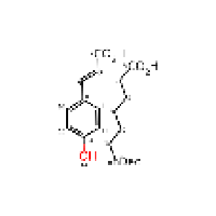 CCCCCCCCCCCCCCCC(=O)O.O=C(O)/C=C/c1ccc(O)cc1